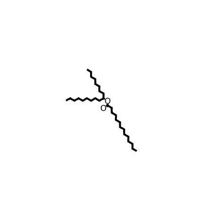 CCCCCCCCCCCCCC(=O)OC(CCCCCCCC)CCCCCCCCC